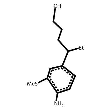 CCC(CCCO)c1ccc(N)c(SC)c1